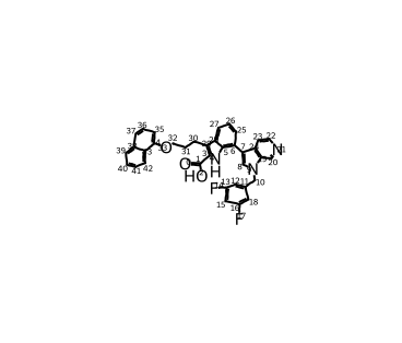 O=C(O)c1[nH]c2c(-c3cn(Cc4cc(F)cc(F)c4)c4cnccc34)cccc2c1CCCOc1cccc2ccccc12